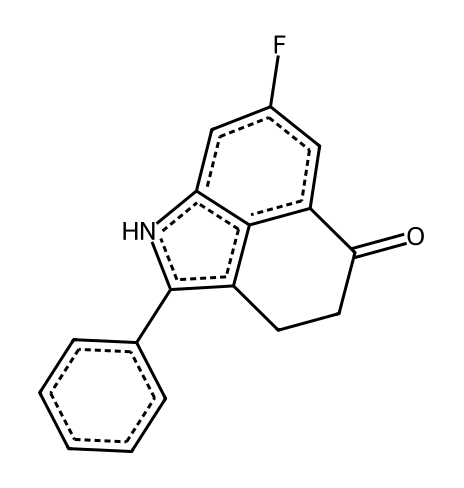 O=C1CCc2c(-c3ccccc3)[nH]c3cc(F)cc1c23